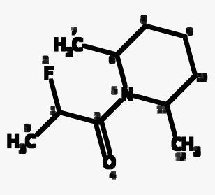 CC(F)C(=O)N1C(C)CCCC1C